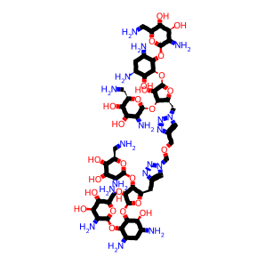 NCC1O[C@H](OC2C(N)C[C@@H](N)C(O)[C@H]2O[C@@H]2O[C@H](Cn3cc(COCn4cc(C[C@H]5O[C@@H](OC6C(O[C@@H]7OC(CN)C(O)[C@H](O)C7N)C(N)CC(N)[C@@H]6O)C(O)C5O[C@@H]5O[C@H](CN)C(O)C(O)C5N)nn4)nn3)[C@H](O[C@H]3O[C@@H](CN)C(O)C(O)C3N)C2O)C(N)[C@@H](O)C1O